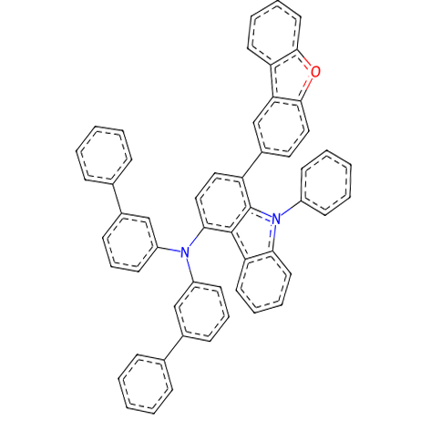 c1ccc(-c2cccc(N(c3cccc(-c4ccccc4)c3)c3ccc(-c4ccc5oc6ccccc6c5c4)c4c3c3ccccc3n4-c3ccccc3)c2)cc1